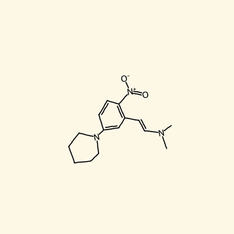 CN(C)C=Cc1cc(N2CCCCC2)ccc1[N+](=O)[O-]